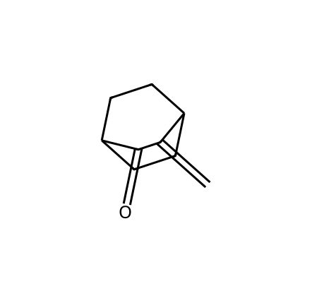 C=C1C(=O)C2CCC1CC2